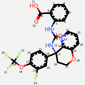 O=C(Nc1ccccc1C(=O)O)N[C@]1(c2ccc(OC(F)(F)F)c(F)c2)CCOc2cccnc21